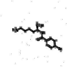 CC(=O)c1ccc(C(=O)N[C@@H](CCCCN)C(=O)O)cc1